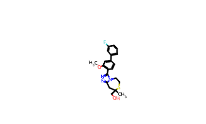 COc1cc(-c2cccc(F)c2)ccc1-c1nnc2n1CCSC(C)(CO)C2